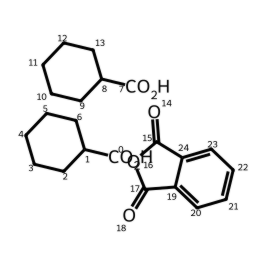 O=C(O)C1CCCCC1.O=C(O)C1CCCCC1.O=C1OC(=O)c2ccccc21